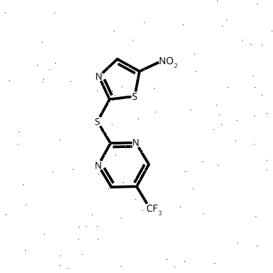 O=[N+]([O-])c1cnc(Sc2ncc(C(F)(F)F)cn2)s1